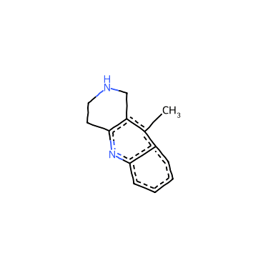 Cc1c2c(nc3ccccc13)CCNC2